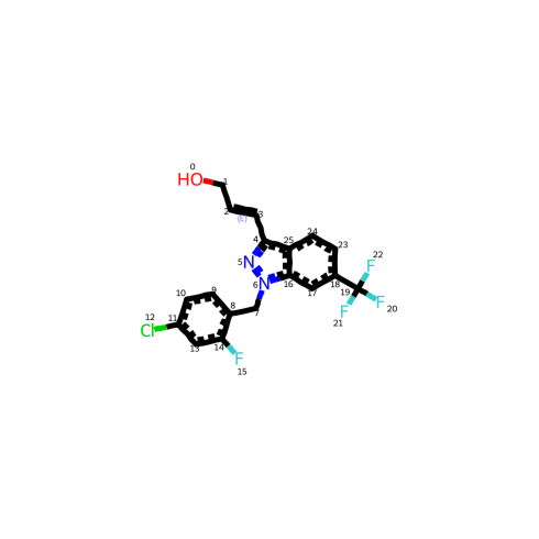 OC/C=C/c1nn(Cc2ccc(Cl)cc2F)c2cc(C(F)(F)F)ccc12